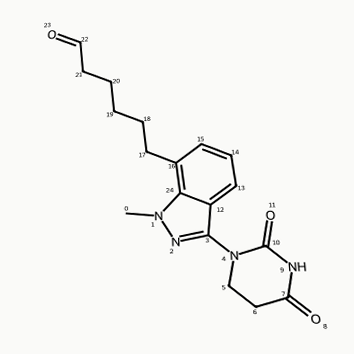 Cn1nc(N2CCC(=O)NC2=O)c2cccc(CCCCCC=O)c21